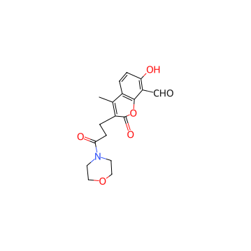 Cc1c(CCC(=O)N2CCOCC2)c(=O)oc2c(C=O)c(O)ccc12